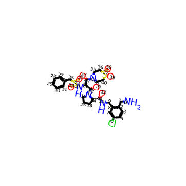 NCc1ccc(Cl)cc1CNC(=O)[C@@H]1CCCN1C(=O)C(NS(=O)(=O)Cc1ccccc1)C(=O)N1CCS(=O)(=O)CC1